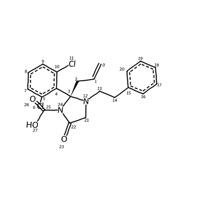 C=CC[C@@]1(c2c(Cl)cccc2Cl)N(CCc2ccccc2)CC(=O)N1C(=O)O